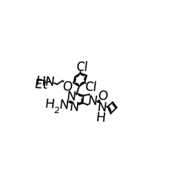 CCNCCOc1cc(Cl)cc(Cl)c1-c1nc(N)nc2c1CN(C(=O)NC1=CC=C1)C2